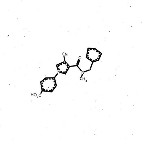 CN(Cc1ccccc1)C(=O)c1cn(-c2ccc(C(=O)O)cc2)cc1C#N